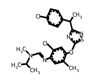 Cc1cc(N=CN(C)C(C)C)c(Cl)cc1Oc1nc(C(C)c2ccc(Cl)cc2)ns1